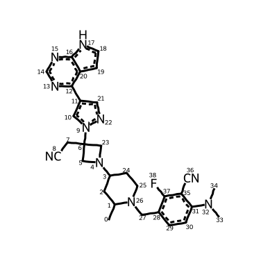 CC1CC(N2CC(CC#N)(n3cc(-c4ncnc5[nH]ccc45)cn3)C2)CCN1Cc1ccc(N(C)C)c(C#N)c1F